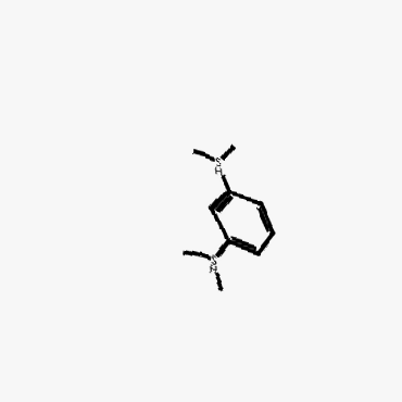 C[SH](C)c1cccc([SH](C)C)c1